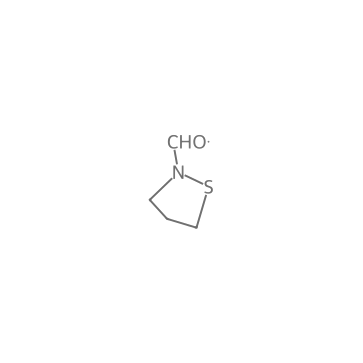 O=[C]N1CCCS1